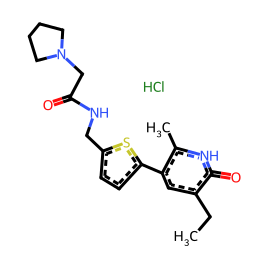 CCc1cc(-c2ccc(CNC(=O)CN3CCCC3)s2)c(C)[nH]c1=O.Cl